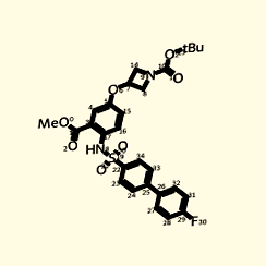 COC(=O)c1cc(OC2CN(C(=O)OC(C)(C)C)C2)ccc1NS(=O)(=O)c1ccc(-c2ccc(F)cc2)cc1